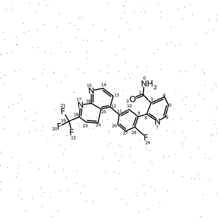 NC(=O)c1cccnc1-c1cc(-c2ccnc3nc(C(F)(F)F)ccc23)ccc1F